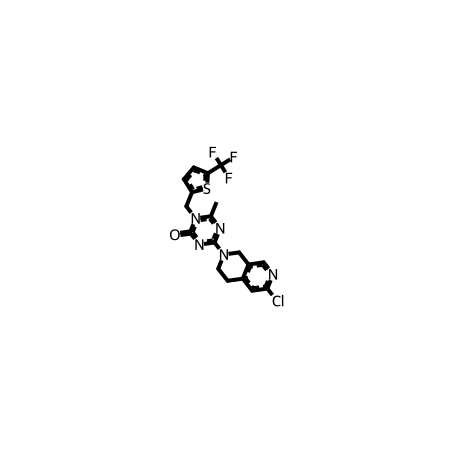 Cc1nc(N2CCc3cc(Cl)ncc3C2)nc(=O)n1Cc1ccc(C(F)(F)F)s1